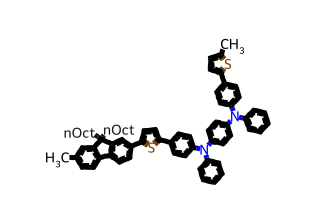 CCCCCCCCC1(CCCCCCCC)c2cc(C)ccc2-c2ccc(-c3ccc(-c4ccc(N(c5ccccc5)c5ccc(N(c6ccccc6)c6ccc(-c7ccc(C)s7)cc6)cc5)cc4)s3)cc21